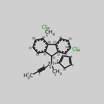 C.CC#[C][Zr+2]([CH3])([C]1=CC=CC1)[CH]1c2ccccc2-c2ccccc21.[Cl-].[Cl-]